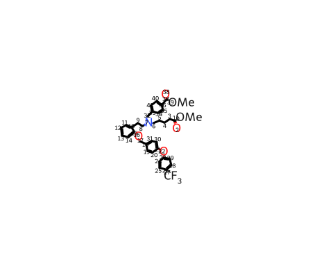 COC(=O)CCCCN(CCc1ccccc1OCc1ccc(Oc2ccc(C(F)(F)F)cc2)cc1)Cc1ccc(C(=O)OC)cc1